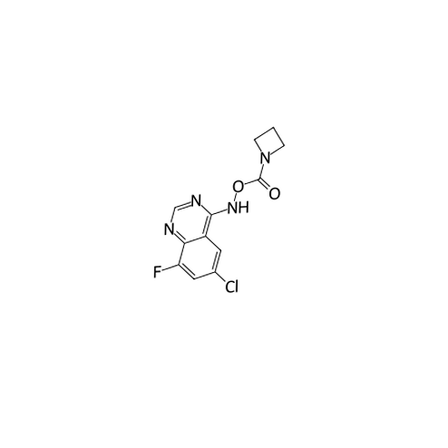 O=C(ONc1ncnc2c(F)cc(Cl)cc12)N1CCC1